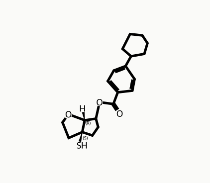 O=C(OC1CC[C@]2(S)CCO[C@H]12)c1ccc(C2CCCCC2)cc1